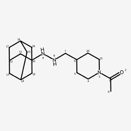 CC(=O)N1CCC(CNNC23CC4CC(CC(C4)C2)C3)CC1